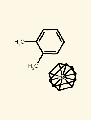 Cc1ccccc1C.[CH]12[CH]3[CH]4[CH]5[CH]1[Fe]23451678[CH]2[CH]1[CH]6[CH]7[CH]28